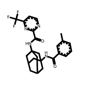 Cc1cccc(C(=O)NC23CC4CC(C2)CC(NC(=O)c2nccc(C(F)(F)F)n2)(C4)C3)c1